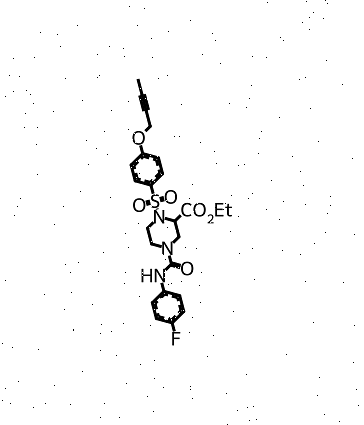 CC#CCOc1ccc(S(=O)(=O)N2CCN(C(=O)Nc3ccc(F)cc3)CC2C(=O)OCC)cc1